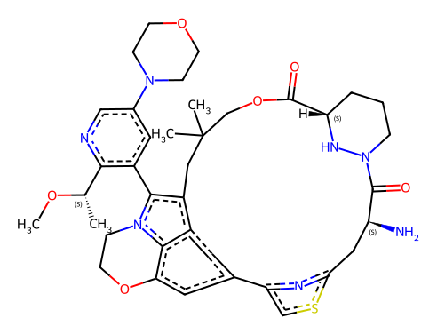 CO[C@@H](C)c1ncc(N2CCOCC2)cc1-c1c2c3cc(cc4c3n1CCO4)-c1csc(n1)C[C@H](N)C(=O)N1CCC[C@H](N1)C(=O)OCC(C)(C)C2